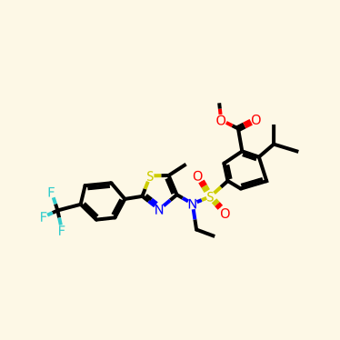 CCN(c1nc(-c2ccc(C(F)(F)F)cc2)sc1C)S(=O)(=O)c1ccc(C(C)C)c(C(=O)OC)c1